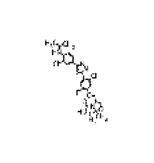 CC(C)Nc1ccc(-c2nnc(-c3cc(F)c(OCC4COC(C)(C)N4C(=O)O)cc3Cl)s2)cc1Cl